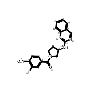 O=C(c1ccc([N+](=O)[O-])c(F)c1)N1CC[C@@H](Nc2ncc3ccccc3n2)C1